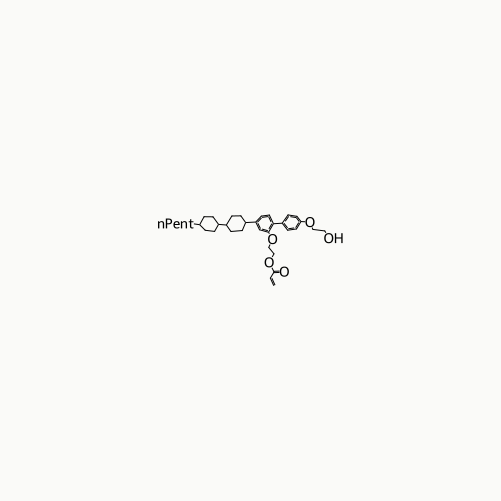 C=CC(=O)OCCOc1cc(C2CCC(C3CCC(CCCCC)CC3)CC2)ccc1-c1ccc(OCCO)cc1